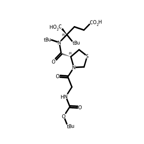 CC(C)(C)OC(=O)NCC(=O)N1CSC[C@H]1C(=O)N(C(C)(C)C)[C@@](CCC(=O)O)(C(=O)O)C(C)(C)C